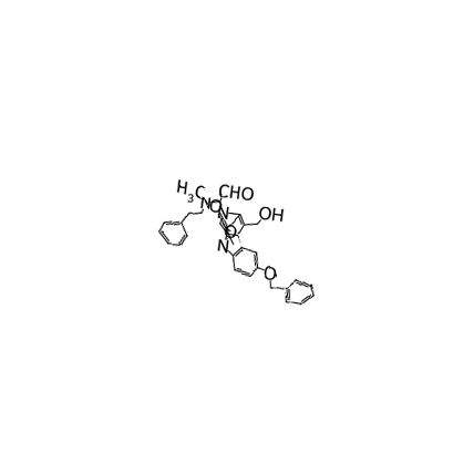 CN(CCc1ccccc1)C(C=O)N1C=C2C3C(CO)=C1C(=O)ON2c1ccc(OCc2ccccc2)cc13